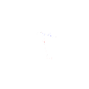 CN(CCN(CCOCCOCCOCCO)C(=O)C(C)(C)C)C(C)(C)C